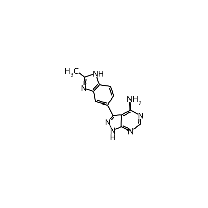 Cc1nc2cc(-c3n[nH]c4ncnc(N)c34)ccc2[nH]1